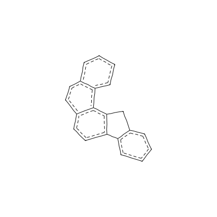 c1ccc2c(c1)Cc1c-2ccc2ccc3ccccc3c12